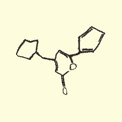 O=c1cc(C2CCCC2)cc(-c2ccccc2)o1